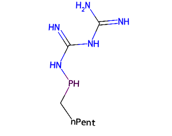 CCCCCCPNC(=N)NC(=N)N